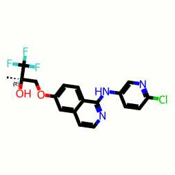 C[C@@](O)(COc1ccc2c(Nc3ccc(Cl)nc3)nccc2c1)C(F)(F)F